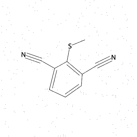 CSc1c(C#N)cccc1C#N